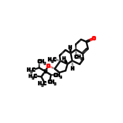 CC(C)[Si](O[C@H]1CC[C@H]2[C@@H]3CCC4=CC(=O)CC[C@]4(C)[C@H]3CC[C@]12C)(C(C)C)C(C)C